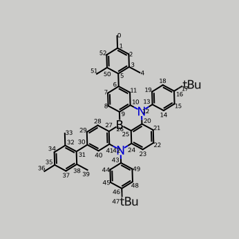 Cc1cc(C)c(-c2ccc3c(c2)N(c2ccc(C(C)(C)C)cc2)c2cccc4c2B3c2ccc(-c3c(C)cc(C)cc3C)cc2N4c2ccc(C(C)(C)C)cc2)c(C)c1